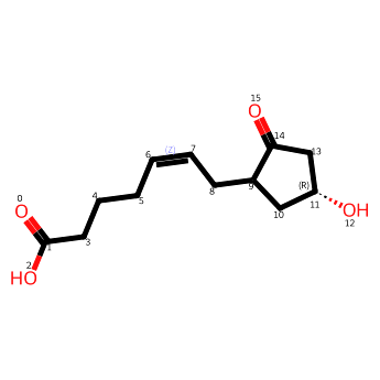 O=C(O)CCC/C=C\CC1C[C@@H](O)CC1=O